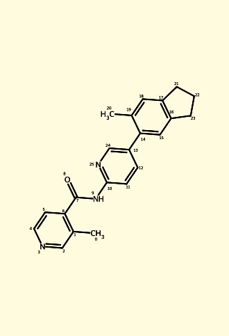 Cc1cnccc1C(=O)Nc1ccc(-c2cc3c(cc2C)CCC3)cn1